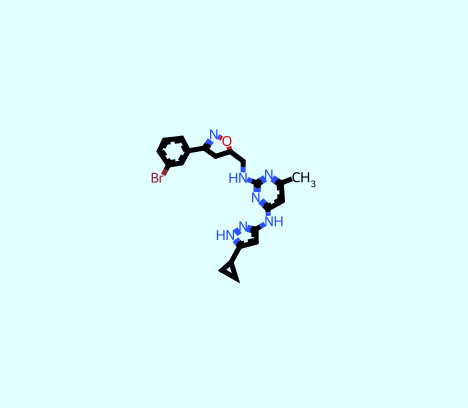 Cc1cc(Nc2cc(C3CC3)[nH]n2)nc(NCC2CC(c3cccc(Br)c3)=NO2)n1